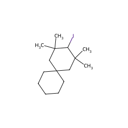 CC1(C)CC2(CCCCC2)CC(C)(C)C1I